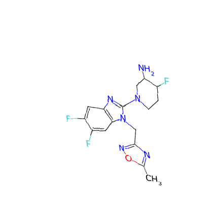 Cc1nc(Cn2c(N3CCC(F)C(N)C3)nc3cc(F)c(F)cc32)no1